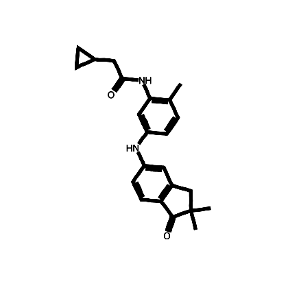 Cc1ccc(Nc2ccc3c(c2)CC(C)(C)C3=O)cc1NC(=O)CC1CC1